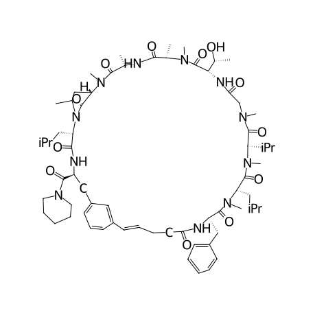 CC(C)C[C@H]1C(=O)N(C)[C@@H](C(C)C)C(=O)N(C)CC(=O)N[C@@H]([C@@H](C)O)C(=O)N(C)[C@@H](C)C(=O)N[C@@H](C)C(=O)N(C)[C@H]2CC(C)N(C2=O)[C@@H](CC(C)C)C(=O)N[C@H](C(=O)N2CCCCC2)Cc2cccc(c2)/C=C/CCC(=O)N[C@@H](Cc2ccccc2)C(=O)N1C